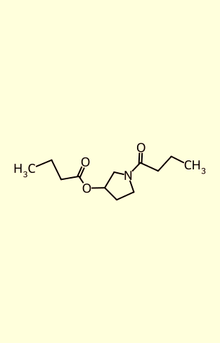 CCCC(=O)OC1CCN(C(=O)CCC)C1